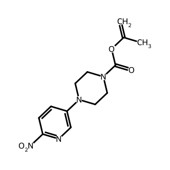 C=C(C)OC(=O)N1CCN(c2ccc([N+](=O)[O-])nc2)CC1